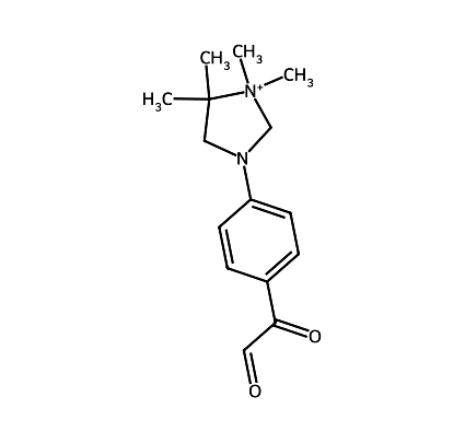 CC1(C)CN(c2ccc(C(=O)C=O)cc2)C[N+]1(C)C